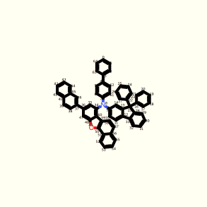 c1ccc(-c2ccc(N(c3ccc4c(c3)C(c3ccccc3)(c3ccccc3)c3ccccc3-4)c3cc(-c4ccc5ccccc5c4)cc4oc5c6ccccc6ccc5c34)cc2)cc1